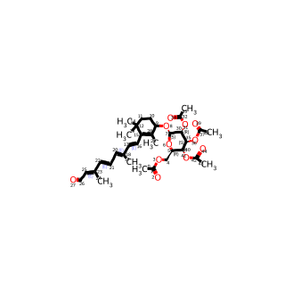 CC(=O)OC[C@H]1O[C@H](OC2CCC(C)(C)C(/C=C/C(C)=C/C=C/C(C)=C/C=O)=C2C)[C@H](OC(C)=O)[C@@H](OC(C)=O)[C@@H]1OC(C)=O